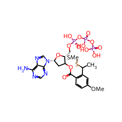 COc1ccc(C(=O)OC2C[C@H](n3cnc4c(N)ncnc43)O[C@@H]2COP(=O)(O)OP(=O)(O)OP(=O)(O)O)c(C(C)SSC)c1